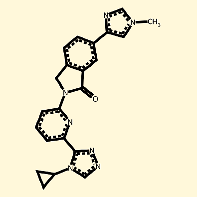 Cn1cnc(-c2ccc3c(c2)C(=O)N(c2cccc(-c4nncn4C4CC4)n2)C3)c1